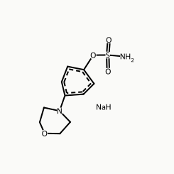 NS(=O)(=O)Oc1ccc(N2CCOCC2)cc1.[NaH]